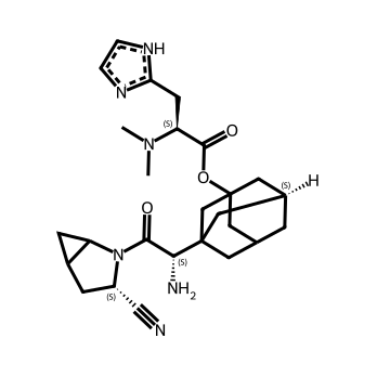 CN(C)[C@@H](Cc1ncc[nH]1)C(=O)OC12CC3C[C@H](C1)CC([C@H](N)C(=O)N1C4CC4C[C@H]1C#N)(C3)C2